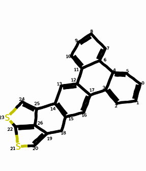 c1ccc2c(c1)c1ccccc1c1cc3c(cc21)Cc1csc2scc-3c12